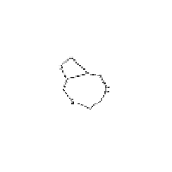 C1CSCC2OCC2CO1